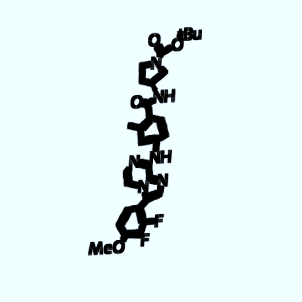 COc1ccc(-c2cnc3c(Nc4ccc(C(=O)N[C@H]5CCN(C(=O)OC(C)(C)C)C5)c(C)c4)nccn23)c(F)c1F